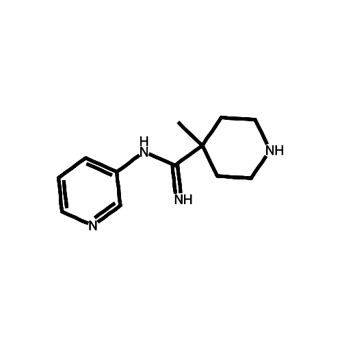 CC1(C(=N)Nc2cccnc2)CCNCC1